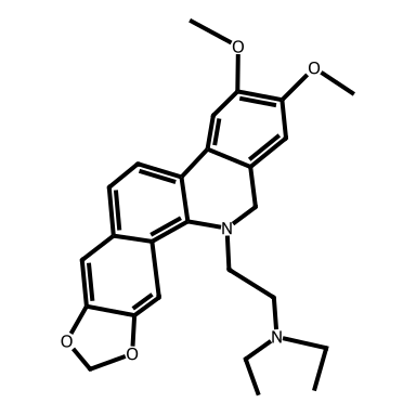 CCN(CC)CCN1Cc2cc(OC)c(OC)cc2-c2ccc3cc4c(cc3c21)OCO4